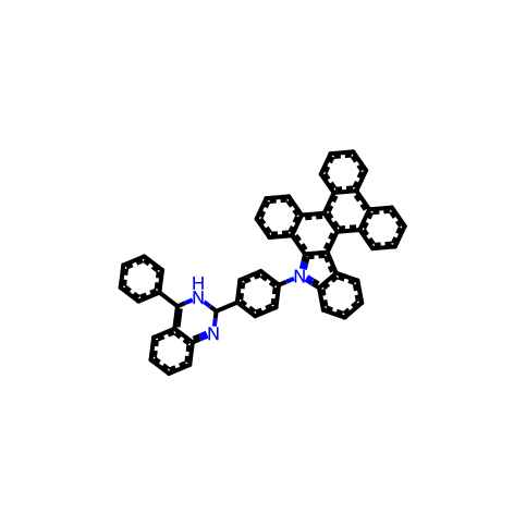 c1ccc(C2=c3ccccc3=NC(c3ccc(-n4c5ccccc5c5c6c7ccccc7c7ccccc7c6c6ccccc6c54)cc3)N2)cc1